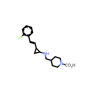 O=C(O)N1CCC(CNC2CC2/C=C/c2ccccc2F)CC1